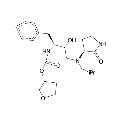 CC(C)CN(C[C@@H](O)[C@H](Cc1ccccc1)NC(=O)O[C@@H]1CCOC1)[C@H]1CCNC1=O